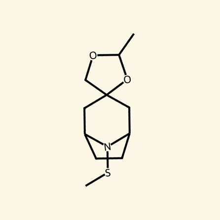 CSN1C2CCC1CC1(COC(C)O1)C2